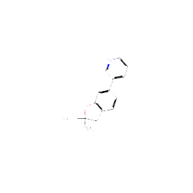 CC1(C)Cc2ccc(-c3cccnc3)cc2O1